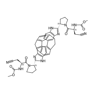 COC(=O)N[C@@H](CC#N)C(=O)N1CCC[C@H]1c1nc2cc(-c3cc4ccc3CCc3ccc(c(-c5ccc6[nH]c([C@@H]7CCCN7C(=O)[C@H](CC#N)NC(=O)OC)nc6c5)c3)CC4)ccc2[nH]1